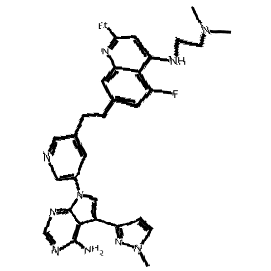 CCc1cc(NCCN(C)C)c2c(F)cc(CCc3cncc(-n4cc(-c5ccn(C)n5)c5c(N)ncnc54)c3)cc2n1